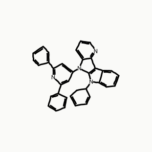 C1=CCC(n2c3ccccc3c3c4ncccc4n(-c4cc(-c5ccccc5)nc(-c5ccccc5)c4)c32)C=C1